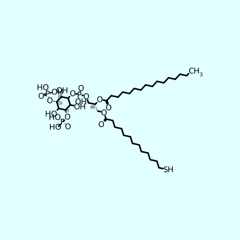 CCCCCCCCCCCCCCCC(=O)O[C@H](COC(=O)CCCCCCCCCCCCS)COP(=O)(O)OC1C(O)[C@H](OP(=O)(O)O)C(O)[C@H](OP(=O)(O)O)[C@@H]1O